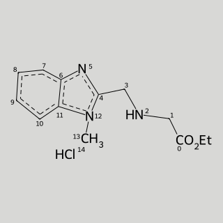 CCOC(=O)CNCc1nc2ccccc2n1C.Cl